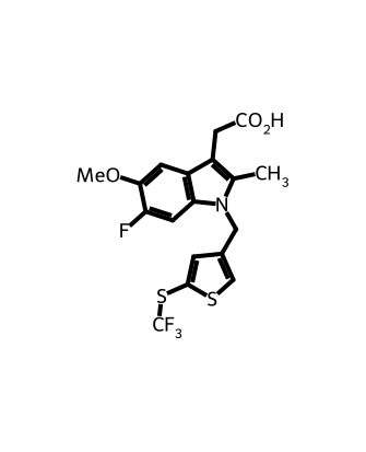 COc1cc2c(CC(=O)O)c(C)n(Cc3csc(SC(F)(F)F)c3)c2cc1F